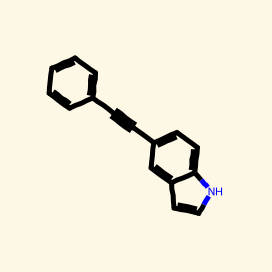 C(#Cc1ccc2[nH]ccc2c1)c1ccccc1